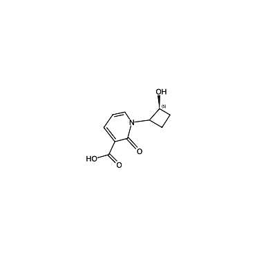 O=C(O)c1cccn(C2CC[C@@H]2O)c1=O